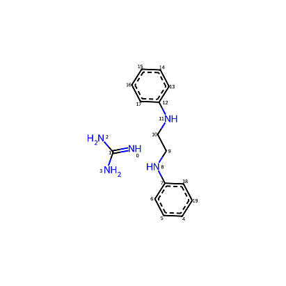 N=C(N)N.c1ccc(NCCNc2ccccc2)cc1